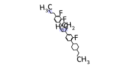 C=C(/C=C\C(=C/C)c1ccc(C2CCC(CCC)CC2)c(F)c1)c1ccc(C/C=C\C)c(F)c1F